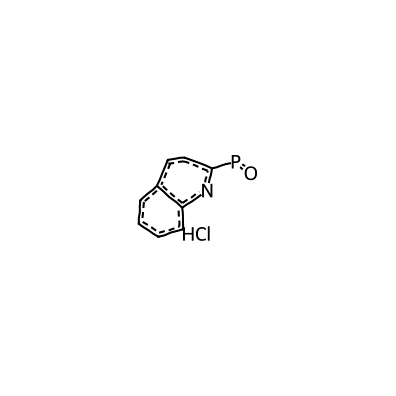 Cl.O=Pc1ccc2ccccc2n1